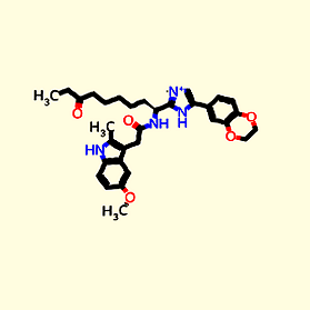 CCC(=O)CCCCC[C@H](NC(=O)Cc1c(C)[nH]c2ccc(OC)cc12)C1=[N+]C=C(c2ccc3c(c2)OCCO3)N1